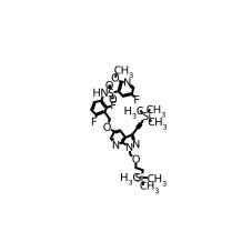 COc1ncc(F)cc1S(=O)(=O)Nc1ccc(F)c(COc2cnc3c(c2)c(C#C[Si](C)(C)C)nn3COCC[Si](C)(C)C)c1F